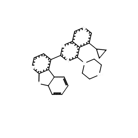 C1=CC2Oc3nccc(-c4nc(N5CCNCC5)c5c(C6CC6)cncc5n4)c3C2C=C1